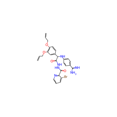 C=CCOc1ccc(C(Nc2ccc(C(=N)N)cc2)C(=O)NNC(=O)c2ncccc2Br)cc1OCC=C